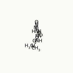 CN(C)CC=CC(=O)Nc1ccnc(N2CC=Cc3cnc(Nc4ccc(N5CCOCC5)nc4)nc32)c1